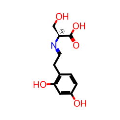 O=C(O)[C@H](CO)N=CCc1ccc(O)cc1O